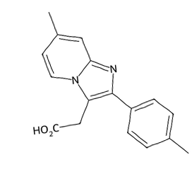 Cc1ccc(-c2nc3cc(C)ccn3c2CC(=O)O)cc1